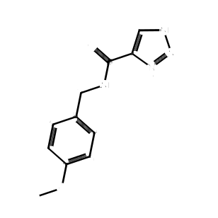 COc1ccc(CNC(=O)c2c[nH]nn2)cc1